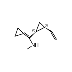 C=C[C@@H]1C[C@@H]1C(NC)=C1CC1